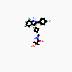 CC(C)(O)C(=O)NC[C@H]1C[C@@H](c2c(-c3ccc(F)cc3)[nH]c3c(F)cc(F)cc32)C1